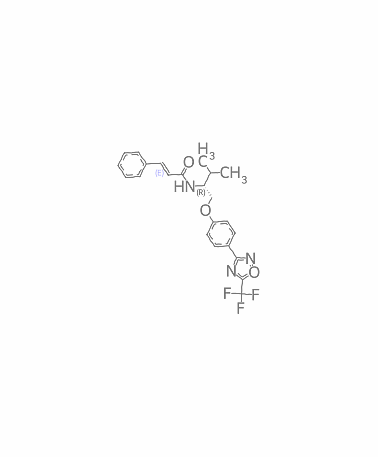 CC(C)[C@H](COc1ccc(-c2noc(C(F)(F)F)n2)cc1)NC(=O)/C=C/c1ccccc1